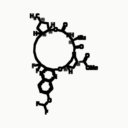 COC(=O)[C@@H]1C[C@@H]2CN1C(=O)[C@H](C(C)(C)C)NC(=O)O[C@@H]1C[C@H](C)C[C@H]1CCCCC(F)(F)c1nc3ccc(OC(F)F)cc3nc1O2